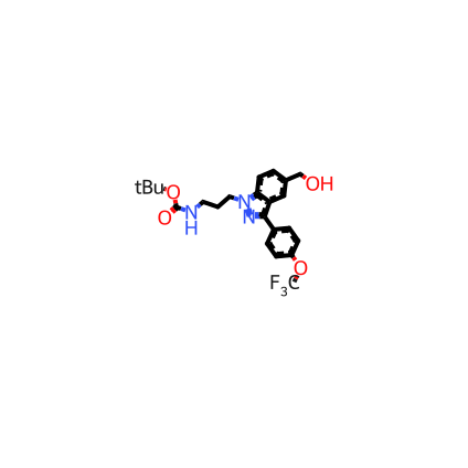 CC(C)(C)OC(=O)NCCCn1nc(-c2ccc(OC(F)(F)F)cc2)c2cc(CO)ccc21